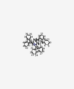 N=C(/N=C(\NCn1c2ccccc2c2ccccc21)n1c2ccccc2c2ccccc21)n1c2ccccc2c2ccccc21